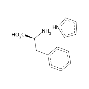 N[C@@H](Cc1ccccc1)C(=O)O.c1cc[nH]c1